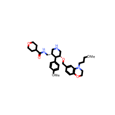 COCCCN1CCOc2ccc(CO[C@H]3CNC[C@@H](CNC(=O)C4CCOCC4)C3c3ccc(OC)cc3)cc21